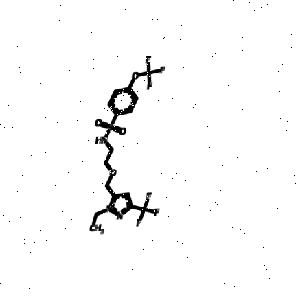 CCn1nc(C(F)(F)F)cc1COCCNS(=O)(=O)c1ccc(OC(F)(F)F)cc1